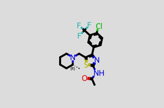 CC(=O)Nc1nc(-c2ccc(Cl)c(C(F)(F)F)c2)c(CN2CCCC[C@H]2C)s1